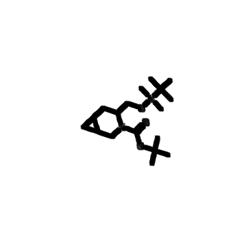 CC(C)(C)OC(=O)N1CC2CC2CC1CO[Si](C)(C)C(C)(C)C